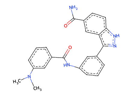 CN(C)c1cccc(C(=O)Nc2cccc(-c3n[nH]c4ccc(C(N)=O)cc34)c2)c1